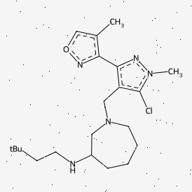 Cc1conc1-c1nn(C)c(Cl)c1CN1CCCCC(NCCC(C)(C)C)C1